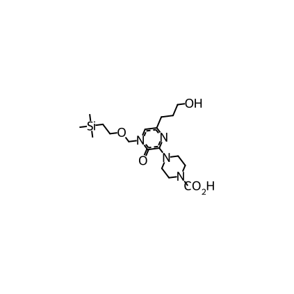 C[Si](C)(C)CCOCn1cc(CCCO)nc(N2CCN(C(=O)O)CC2)c1=O